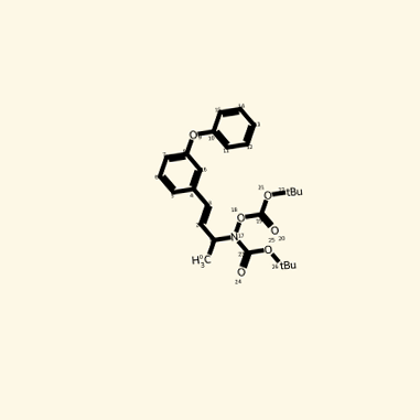 CC(/C=C/c1cccc(Oc2ccccc2)c1)N(OC(=O)OC(C)(C)C)C(=O)OC(C)(C)C